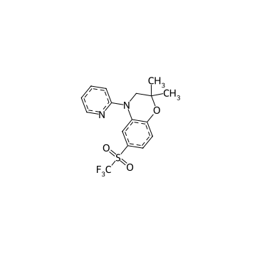 CC1(C)CN(c2ccccn2)c2cc(S(=O)(=O)C(F)(F)F)ccc2O1